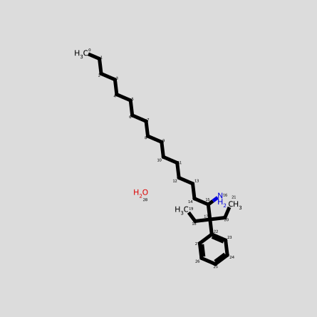 CCCCCCCCCCCCCCCC(N)C(CC)(CC)c1ccccc1.O